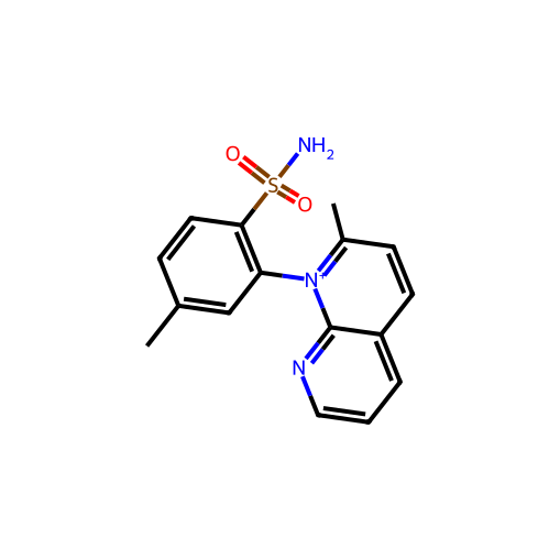 Cc1ccc(S(N)(=O)=O)c(-[n+]2c(C)ccc3cccnc32)c1